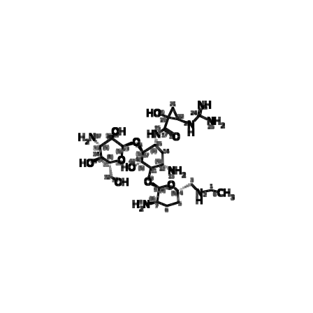 CCNC[C@@H]1CC[C@@H](N)[C@@H](OC2[C@@H](N)C[C@@H](NC(=O)C3(O)CC3NC(=N)N)[C@H](O[C@H]3O[C@H](CO)[C@@H](O)[C@H](N)[C@H]3O)[C@H]2O)O1